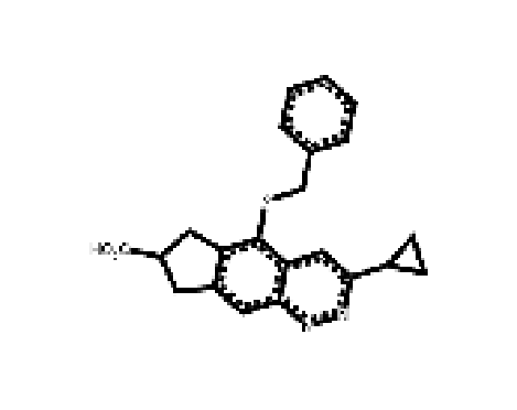 O=C(O)C1Cc2cc3nnc(C4CC4)cc3c(SCc3ccccc3)c2C1